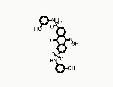 O=C1c2cc(S(=O)(=O)Nc3cccc(O)c3)ccc2C(=NO)c2ccc(S(=O)(=O)Nc3cccc(O)c3)cc21